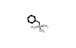 [CH3][Sn]([CH3])([CH3])[CH2]c1ccccc1